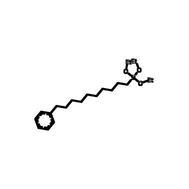 CCO[Si](CCCCCCCCCCc1ccccc1)(OCC)OCC